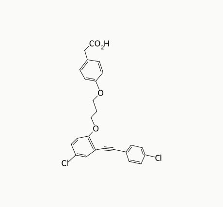 O=C(O)Cc1ccc(OCCCOc2ccc(Cl)cc2C#Cc2ccc(Cl)cc2)cc1